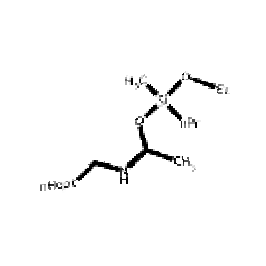 CCCCCCCCNC(C)O[Si](C)(CCC)OCC